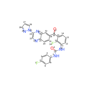 O=C(Nc1ccc(F)cc1)Nc1cccc(C(=O)c2ccc3ncc(-n4cccn4)nc3c2)c1F